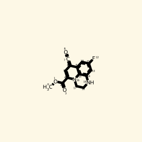 COC(=O)C1=CC(=C=O)c2cc(F)cc3c2N1CCN3